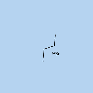 Br.CCCI